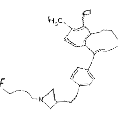 Cc1ccc2c(c1Cl)CCCC=C2c1ccc(CC2CN(CCCF)C2)cc1